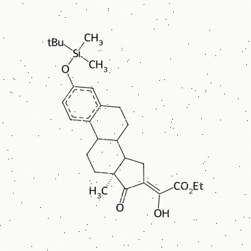 CCOC(=O)/C(O)=C1\CC2C3CCc4cc(O[Si](C)(C)C(C)(C)C)ccc4C3CC[C@]2(C)C1=O